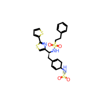 O=[SH](=O)NC1C=CC(C[C@H](NS(=O)(=O)CCc2ccccc2)c2csc(-c3cccs3)n2)=CC1